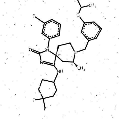 CC(C)Oc1cccc(CN2CC[C@@]3(C[C@@H]2C)C(NC2CCC(F)(F)CC2)=NC(=O)N3c2cccc(F)c2)c1